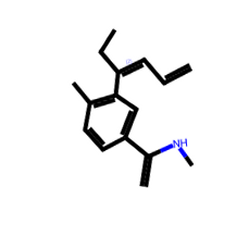 C=C/C=C(/CC)c1cc(C(=C)NC)ccc1C